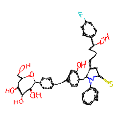 OCC1OC(c2ccc(-c3ccc(C4C(CCCC(O)c5ccc(F)cc5)CC(=S)N4c4ccccc4)c(O)c3)cc2)C(O)C(O)C1O